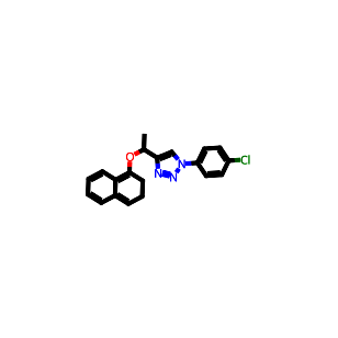 CC(OC1=c2ccccc2=CCC1)c1cn(-c2ccc(Cl)cc2)nn1